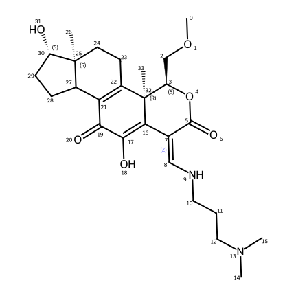 COC[C@H]1OC(=O)/C(=C\NCCCN(C)C)C2=C(O)C(=O)C3=C([C]C[C@@]4(C)C3CC[C@@H]4O)[C@]21C